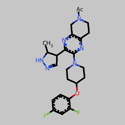 CC(=O)N1CCc2nc(N3CCC(Oc4ccc(F)cc4F)CC3)c(C3C=NNC3C)nc2C1